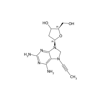 CC#CN1CN([C@H]2CC(O)[C@@H](CO)O2)c2nc(N)nc(N)c21